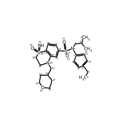 CCc1ccc(N(CC(C)C)S(=O)(=O)c2ccc3c(c2)N(CC2CCOCC2)CCS3(=N)=O)cc1